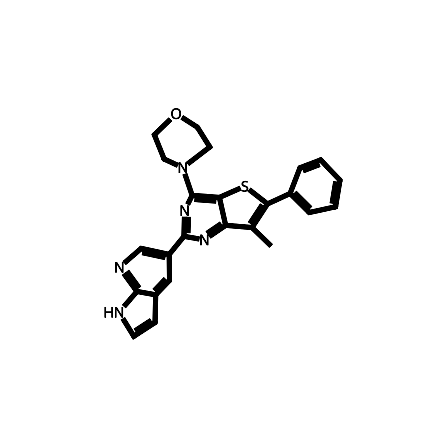 Cc1c(-c2ccccc2)sc2c(N3CCOCC3)nc(-c3cnc4[nH]ccc4c3)nc12